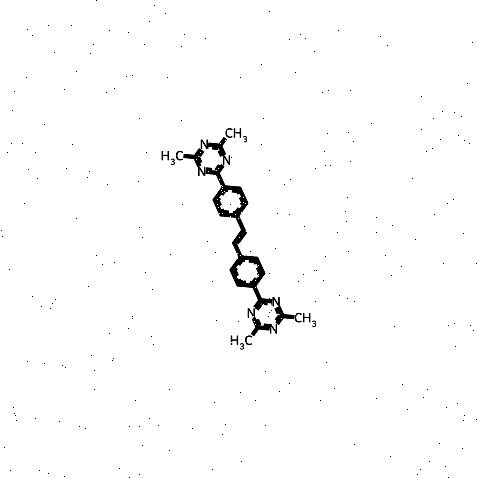 Cc1nc(C)nc(-c2ccc(C=Cc3ccc(-c4nc(C)nc(C)n4)cc3)cc2)n1